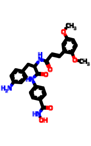 COc1ccc(OC)c(/C=C/C(=O)NC(Cc2ccc(N)cc2)C(=O)Nc2ccc(C(=O)NO)cc2)c1